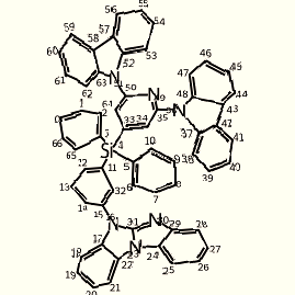 c1ccc([Si](c2ccccc2)(c2cccc(-n3c4ccccc4n4c5ccccc5nc34)c2)c2cc(-n3c4ccccc4c4ccccc43)nc(-n3c4ccccc4c4ccccc43)c2)cc1